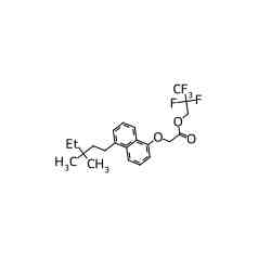 CCC(C)(C)CCc1cccc2c(OCC(=O)OCC(F)(F)C(F)(F)F)cccc12